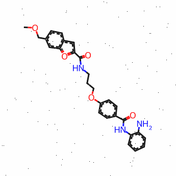 COCc1ccc2cc(C(=O)NCCCOc3ccc(C(=O)Nc4ccccc4N)cc3)oc2c1